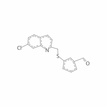 O=Cc1cccc(SCc2ccc3ccc(Cl)cc3n2)c1